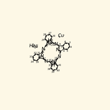 I.[Cu].[Ni].c1ccc2c(c1)-c1nc-2nc2[nH]c(nc3nc(nc4[nH]c(n1)c1ccccc41)-c1ccccc1-3)c1ccccc21